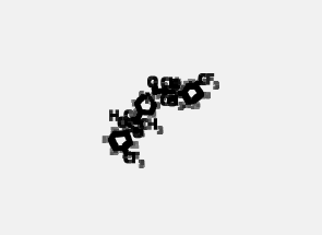 CC(C)(C(=O)N1CCC(C(C)(C)S(=O)(=O)c2cccc(C(F)(F)F)c2)CC1)S(=O)(=O)c1cccc(C(F)(F)F)c1